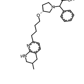 CC1CNc2nc(CCCCO[C@@H]3CCN(C(C(=O)O)c4ccccc4)C3)ccc2C1